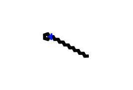 CCCCCCCCCCCCCCCN1CCCC1